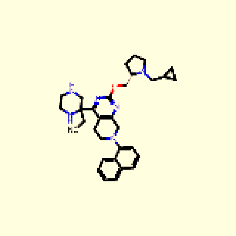 N#CCC1(c2nc(OC[C@@H]3CCCN3CC3CC3)nc3c2CCN(c2cccc4ccccc24)C3)CNCCN1